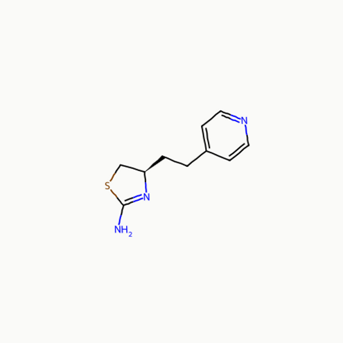 NC1=N[C@H](CCc2ccncc2)CS1